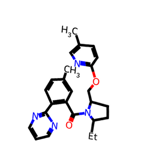 CCC1CCC(COc2ccc(C)cn2)N1C(=O)c1cc(C)ccc1-c1ncccn1